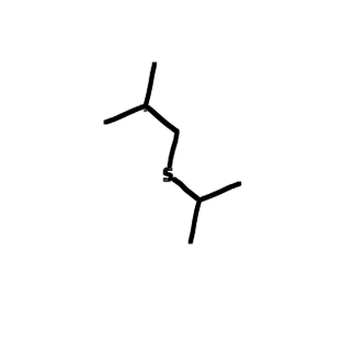 C[C](C)CSC(C)C